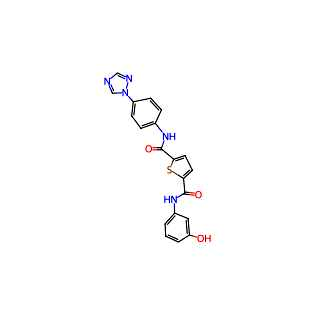 O=C(Nc1ccc(-n2cncn2)cc1)c1ccc(C(=O)Nc2cccc(O)c2)s1